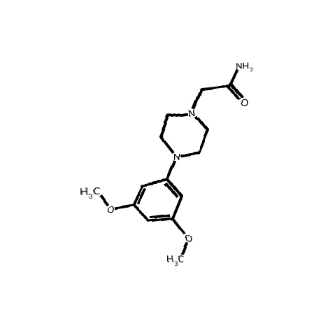 COc1cc(OC)cc(N2CCN(CC(N)=O)CC2)c1